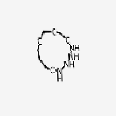 C1CCCCNNNNCCCC1